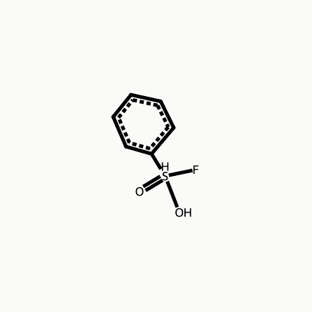 O=[SH](O)(F)c1ccccc1